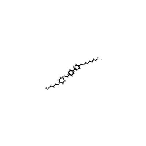 CCCCCCCCCc1cnc(-c2ccc(CC[C@H]3CC[C@H](CCCCC)CC3)cc2)nc1